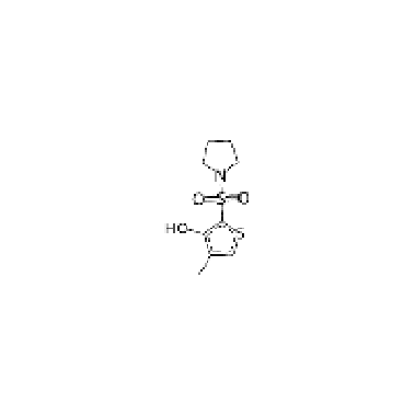 Cc1csc(S(=O)(=O)N2CCCC2)c1O